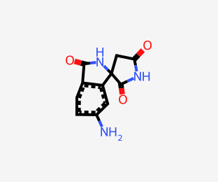 Nc1ccc2c(c1)C1(CC(=O)NC1=O)NC2=O